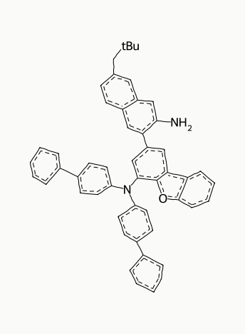 CC(C)(C)Cc1ccc2cc(-c3cc(N(c4ccc(-c5ccccc5)cc4)c4ccc(-c5ccccc5)cc4)c4oc5ccccc5c4c3)c(N)cc2c1